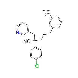 N#CC(CCCc1cccc(C(F)(F)F)c1)(Cc1cccnc1)c1ccc(Cl)cc1